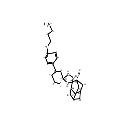 NCCCOc1ccc(C2CCC[C@]3(C2)OO[C@]2(O3)C3CC4CC(C3)C[C@@H]2C4)cc1